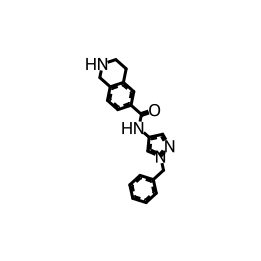 O=C(Nc1cnn(Cc2ccccc2)c1)c1ccc2c(c1)CCNC2